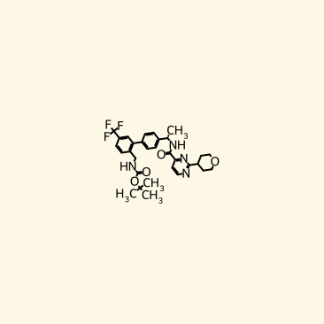 C[C@@H](NC(=O)c1ccnc(C2CCOCC2)n1)c1ccc(-c2cc(C(F)(F)F)ccc2CNC(=O)OC(C)(C)C)cc1